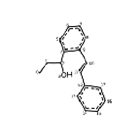 CCC(O)c1ccccc1C=Cc1ccccc1